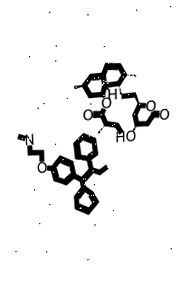 CC/C(=C(\c1ccccc1)c1ccc(OCCN(C)C)cc1)c1ccccc1.CC[C@H](C)C(=O)O[C@H]1C[C@@H](C)C=C2C=C[C@H](C)[C@H](CC[C@@H]3C[C@@H](O)CC(=O)O3)[C@H]21